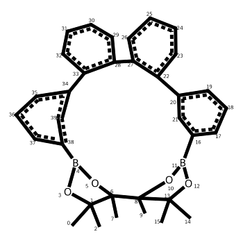 CC1(C)OB2OC1(C)C1(C)OB(OC1(C)C)c1cccc(c1)-c1ccccc1-c1ccccc1-c1cccc2c1